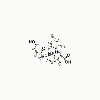 O=C(O)c1cn(-c2c(F)cc(F)cc2F)c2nc(N3CCN(CCO)C3=O)ccc2c1=O